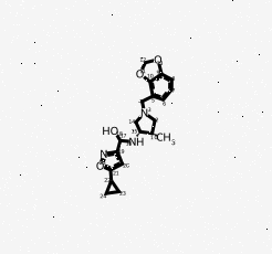 C[C@H]1CN(Cc2cccc3c2OCO3)C[C@H]1NC(O)c1cc(C2CC2)on1